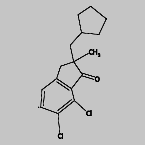 CC1(CC2CCCC2)Cc2c[c]c(Cl)c(Cl)c2C1=O